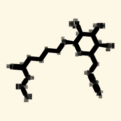 [N-]=[N+]=NCC1O[C@@H](OCCCCC(=O)ONS)[C@@H](N)C(O)[C@H]1O